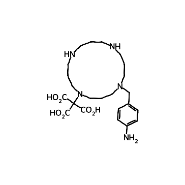 Nc1ccc(CN2CCCNCCCNCCCN(C(C(=O)O)(C(=O)O)C(=O)O)CCC2)cc1